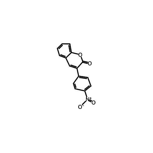 O=c1oc2ccccc2cc1-c1ccc([N+](=O)[O-])cc1